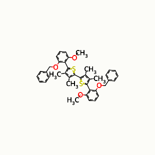 COc1cccc(OCc2ccccc2)c1-c1sc(-c2sc(-c3c(OC)cccc3OCc3ccccc3)c(C)c2C)c(C)c1C